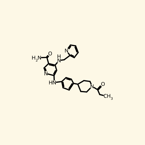 CCC(=O)N1CCC(c2ccc(Nc3cc(NCc4ccccn4)c(C(N)=O)cn3)cc2)CC1